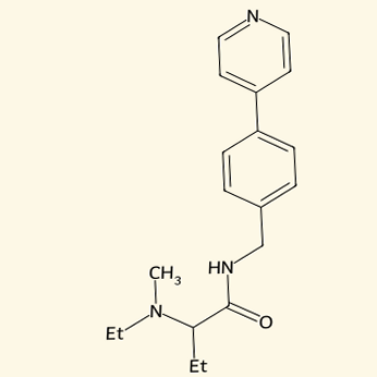 CCC(C(=O)NCc1ccc(-c2ccncc2)cc1)N(C)CC